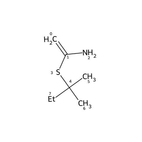 C=C(N)SC(C)(C)CC